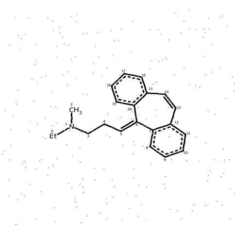 CCN(C)CCC=C1c2ccccc2C=Cc2ccccc21